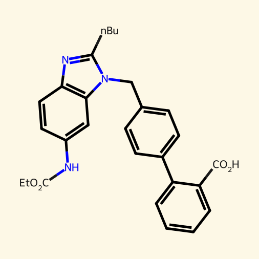 CCCCc1nc2ccc(NC(=O)OCC)cc2n1Cc1ccc(-c2ccccc2C(=O)O)cc1